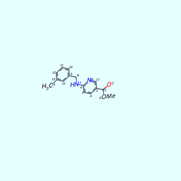 COC(=O)c1ccc(NCc2cccc(C)c2)nc1